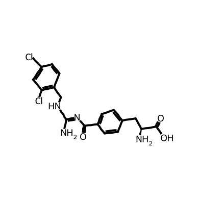 N/C(=N\C(=O)c1ccc(C[C@H](N)C(=O)O)cc1)NCc1ccc(Cl)cc1Cl